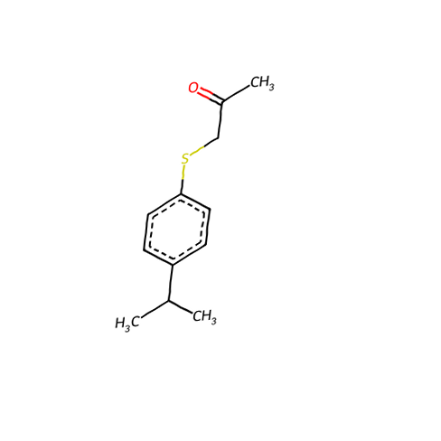 CC(=O)CSc1ccc(C(C)C)cc1